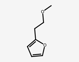 COCCc1ccco1